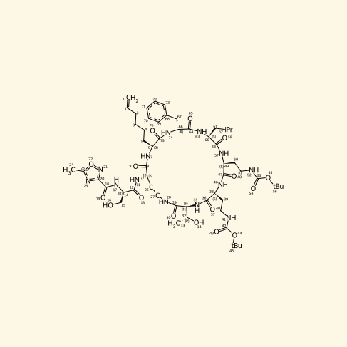 C=CCCCC[C@@H]1NC(=O)[C@@H](NC(=O)[C@@H](CO)NC(=O)c2noc(C)n2)CCNC(=O)[C@H]([C@@H](C)O)NC(=O)[C@H](CCNC(=O)OC(C)(C)C)NC(=O)[C@H](CCNC(=O)OC(C)(C)C)NC(=O)[C@H](CC(C)C)NC(=O)[C@@H](Cc2ccccc2)NC1=O